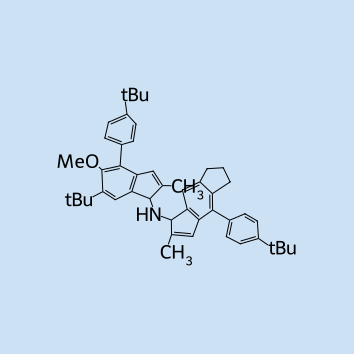 COc1c(C(C)(C)C)cc2c(c1-c1ccc(C(C)(C)C)cc1)C=C(C)C2NC1C(C)=Cc2c1cc1c(c2-c2ccc(C(C)(C)C)cc2)CCC1